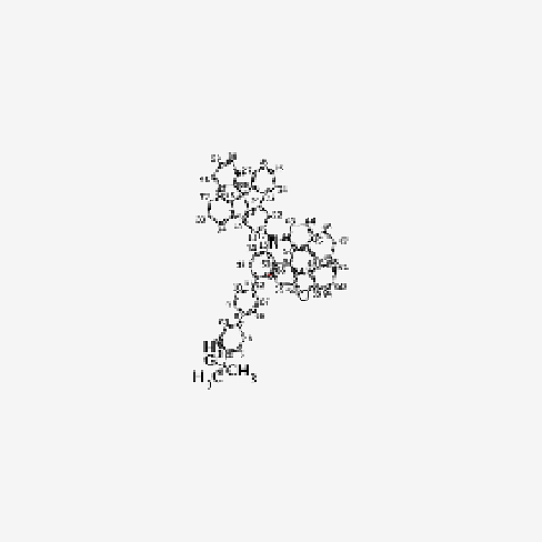 CC(C)(C)c1ccc(-c2ccc(-c3ccc(N(c4ccc5c(c4)-c4ccccc4C5(c4ccccc4)c4ccccc4)c4ccc5ccccc5c4-c4cccc5oc6ccccc6c45)cc3)cc2)cc1